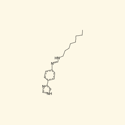 CCCCCCCCNC=Nc1ccc(-c2c[nH]cn2)cc1